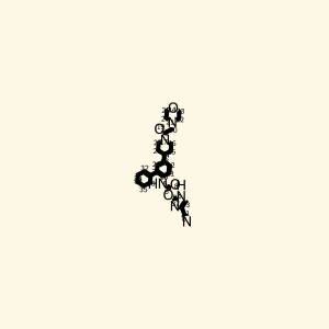 N#Cc1c[nH]c(OC(=O)Nc2ccc(C3CCN(C(=O)CN4CCOCC4)CC3)cc2C2=CCCCC2)n1